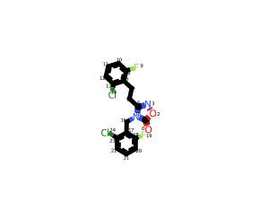 O=c1onc(CCc2c(F)cccc2Cl)n1Cc1c(F)cccc1Cl